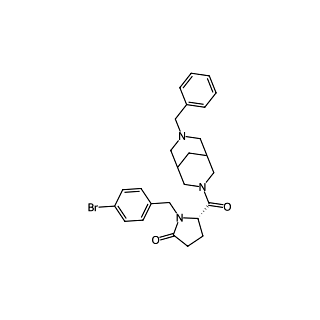 O=C([C@@H]1CCC(=O)N1Cc1ccc(Br)cc1)N1CC2CC(CN(Cc3ccccc3)C2)C1